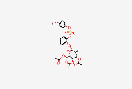 CC(=O)OC[C@H]1OC(Oc2ccccc2OS(=O)(=O)Oc2ccc(CBr)cc2)[C@@H](C)[C@@H](OC(C)=O)[C@H]1OC(C)=O